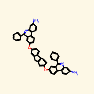 Nc1ccc2c(c1)nc(-c1ccccc1)c1cc(Oc3ccc4c(c3)Cc3cc(Oc5ccc6c(c5)c(-c5ccccc5)nc5cc(N)ccc56)ccc3-4)ccc12